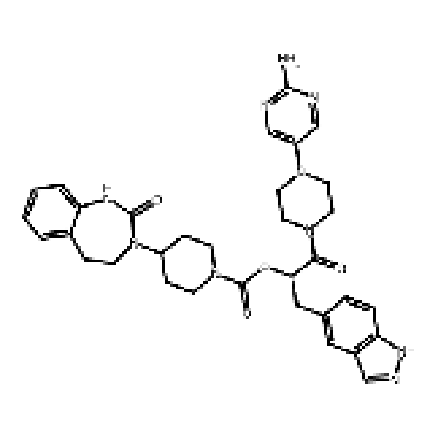 Nc1ncc(N2CCN(C(=O)[C@@H](Cc3ccc4[nH]ncc4c3)OC(=O)N3CCC(N4CCc5ccccc5NC4=O)CC3)CC2)cn1